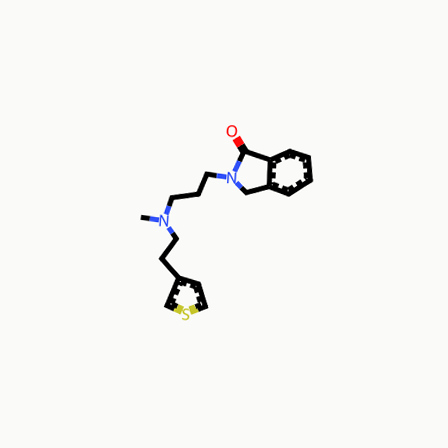 CN(CCCN1Cc2ccccc2C1=O)CCc1ccsc1